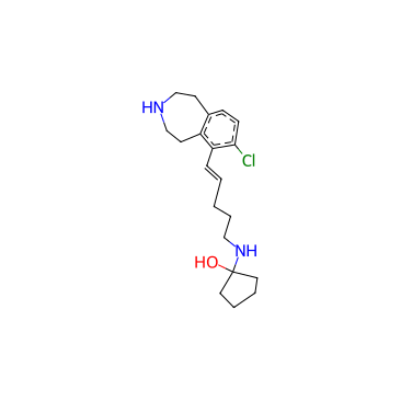 OC1(NCCCC=Cc2c(Cl)ccc3c2CCNCC3)CCCC1